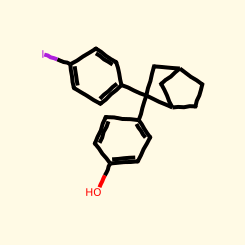 Oc1ccc(C2(c3ccc(I)cc3)CC3CCC2C3)cc1